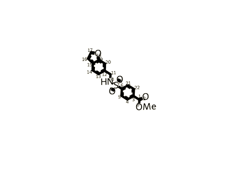 COC(=O)c1ccc(S(=O)(=O)NCc2ccc3ccoc3c2)cc1